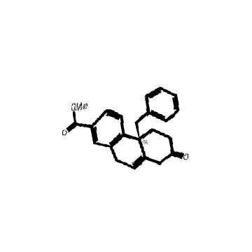 COC(=O)c1ccc2c(c1)CC=C1CC(=O)CC[C@]12Cc1ccccc1